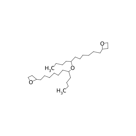 CCCCC(CCCCCCC1CCO1)OC(CCCC)CCCCCCC1CCO1